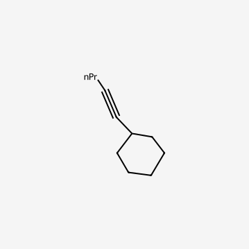 CCCC#CC1CCCCC1